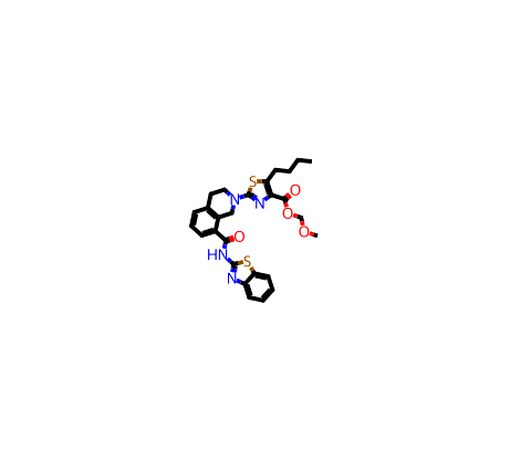 CCCCc1sc(N2CCc3cccc(C(=O)Nc4nc5ccccc5s4)c3C2)nc1C(=O)OCOC